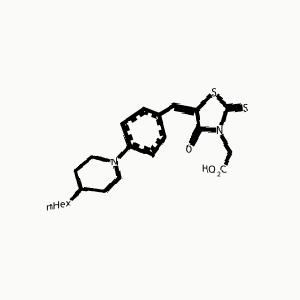 CCCCCCC1CCN(c2ccc(C=C3SC(=S)N(CC(=O)O)C3=O)cc2)CC1